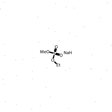 CCOS(=O)(=O)OC.[NaH]